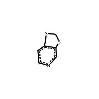 [c]1nccc2c1SCS2